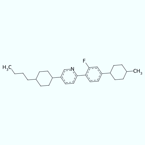 CCCCC1CCC(c2ccc(-c3ccc(C4CCC(C)CC4)cc3F)nc2)CC1